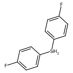 Fc1ccc([SiH2]c2ccc(F)cc2)cc1